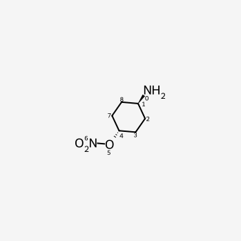 N[C@H]1CC[C@H](O[N+](=O)[O-])CC1